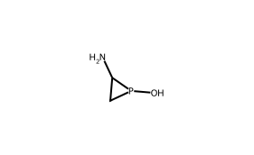 NC1CP1O